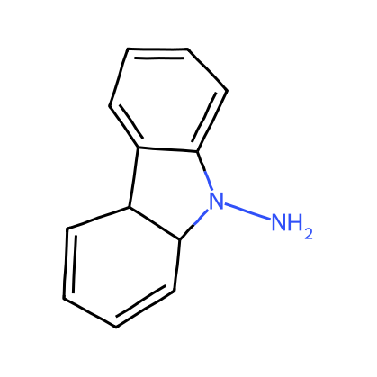 NN1c2ccccc2C2C=CC=CC21